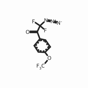 [N-]=[N+]=NC(F)(F)C(=O)c1ccc(OC(F)(F)F)cc1